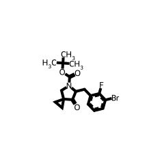 CC(C)(C)OC(=O)N1CC2(CC2)C(=O)C1Cc1cccc(Br)c1F